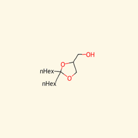 CCCCCCC1(CCCCCC)OCC(CO)O1